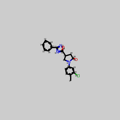 Cc1ccc(N2CC(c3nc(-c4ccccc4)no3)CC2=O)cc1Cl